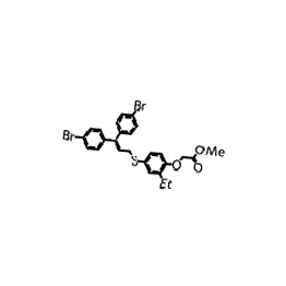 CCc1cc(SCC=C(c2ccc(Br)cc2)c2ccc(Br)cc2)ccc1OCC(=O)OC